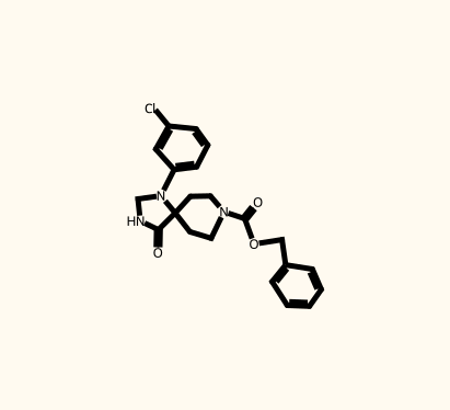 O=C(OCc1ccccc1)N1CCC2(CC1)C(=O)NCN2c1cccc(Cl)c1